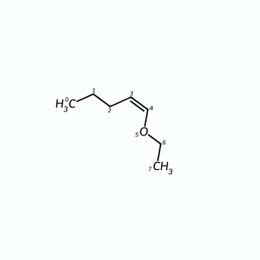 CCC/C=C\OCC